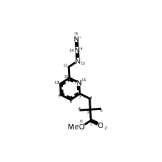 COC(=O)C(C)(C)Cc1cccc(CN=[N+]=[N-])n1